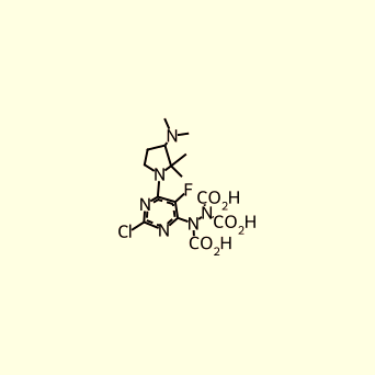 CN(C)C1CCN(c2nc(Cl)nc(N(C(=O)O)N(C(=O)O)C(=O)O)c2F)C1(C)C